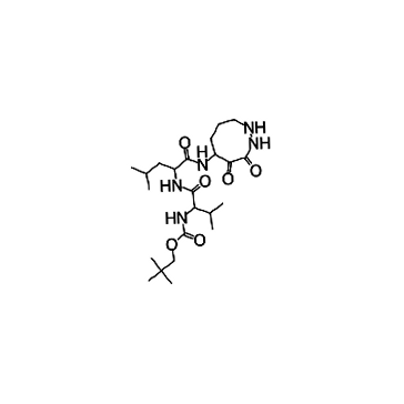 CC(C)CC(NC(=O)C(NC(=O)OCC(C)(C)C)C(C)C)C(=O)NC1CCCNNC(=O)C1=O